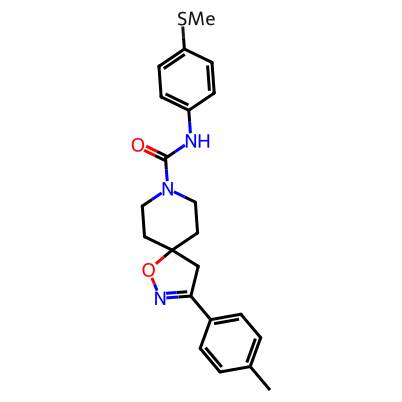 CSc1ccc(NC(=O)N2CCC3(CC2)CC(c2ccc(C)cc2)=NO3)cc1